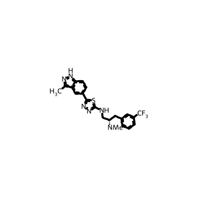 CN[C@H](CNc1nnc(-c2ccc3[nH]nc(C)c3c2)s1)Cc1cccc(C(F)(F)F)c1